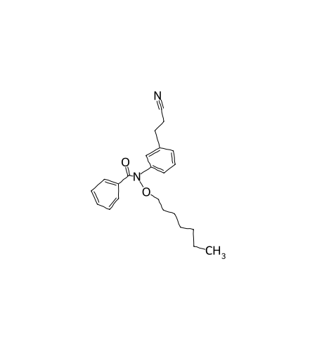 CCCCCCCON(C(=O)c1ccccc1)c1cccc(CCC#N)c1